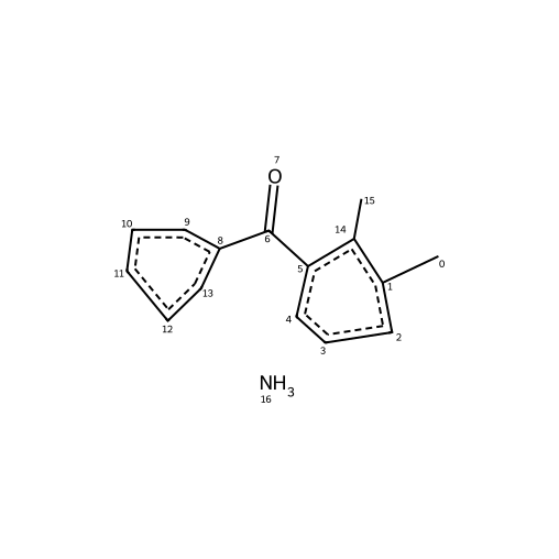 Cc1cccc(C(=O)c2ccccc2)c1C.N